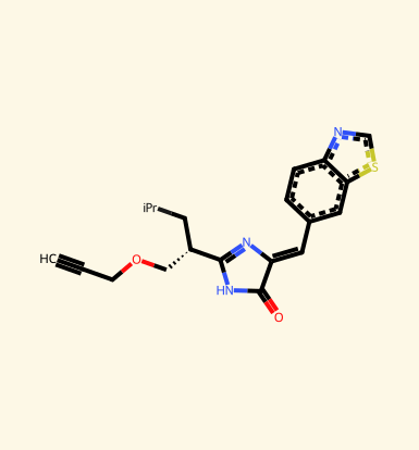 C#CCOC[C@H](CC(C)C)C1=N/C(=C\c2ccc3ncsc3c2)C(=O)N1